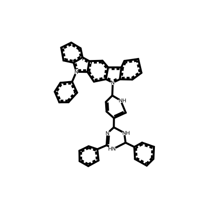 C1=CC(n2c3ccccc3c3cc4c5ccccc5n(-c5ccccc5)c4cc32)NC=C1C1N=C(c2ccccc2)NC(c2ccccc2)N1